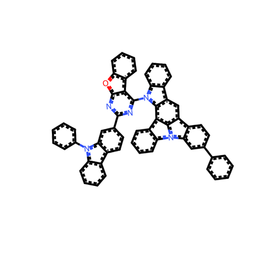 c1ccc(-c2ccc3c4cc5c6ccccc6n(-c6nc(-c7ccc8c9ccccc9n(-c9ccccc9)c8c7)nc7oc8ccccc8c67)c5c5c6ccccc6n(c3c2)c45)cc1